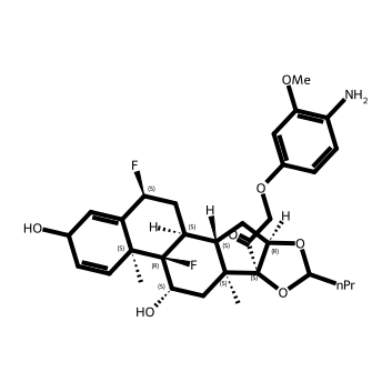 CCCC1O[C@@H]2C[C@H]3[C@@H]4C[C@H](F)C5=CC(O)C=C[C@]5(C)[C@@]4(F)[C@@H](O)C[C@]3(C)[C@]2(C(=O)COc2ccc(N)c(OC)c2)O1